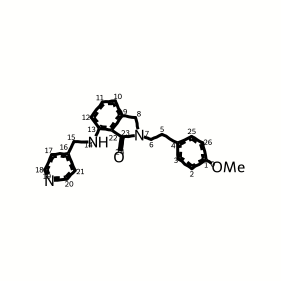 COc1ccc(CCN2Cc3cccc(NCc4ccncc4)c3C2=O)cc1